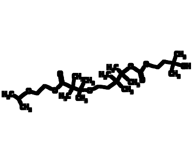 CC(C)OCCOC(=O)C(C)(C)C(C)(C)OCCC(C)(C)C(C)(C)OC(=O)OCCC(C)(C)O